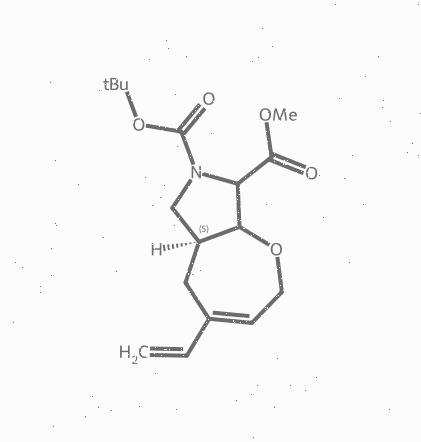 C=CC1=CCOC2C(C(=O)OC)N(C(=O)OC(C)(C)C)C[C@@H]2C1